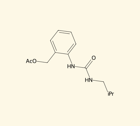 CC(=O)OCc1ccccc1NC(=O)NCC(C)C